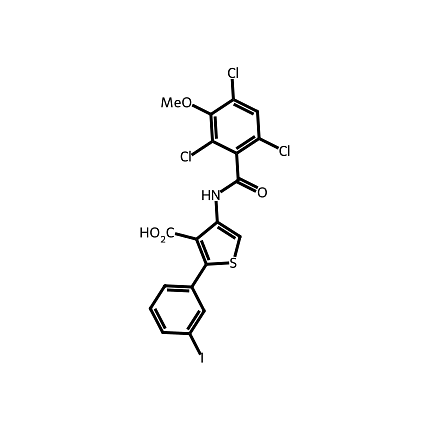 COc1c(Cl)cc(Cl)c(C(=O)Nc2csc(-c3cccc(I)c3)c2C(=O)O)c1Cl